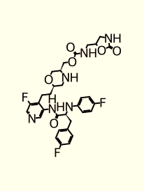 O=C(NCC1CNC(=O)O1)OC[C@@H]1CO[C@H](CCc2c(F)cncc2NC(=O)[C@H](Cc2ccc(F)cc2)Nc2ccc(F)cc2)CN1